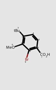 COc1c(C(C)(C)C)ccc(C(=O)O)c1Br